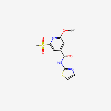 CC(C)Oc1cc(C(=O)Nc2nccs2)cc(S(C)(=O)=O)n1